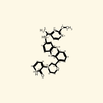 COc1nccc(C(C)Nc2ccc3c(c2)Sc2cccc(C4CN(c5ccc[nH]c5=O)CCO4)c2S3)n1